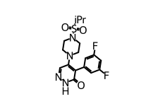 CC(C)S(=O)(=O)N1CCN(c2cn[nH]c(=O)c2-c2cc(F)cc(F)c2)CC1